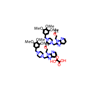 CCOCCn1c(CN2CCN(Cc3cc(OC)c(OC)c(OC)c3)CC2)nc2cccnc21.CCOCCn1c(CN2CCN(Cc3cc(OC)c(OC)c(OC)c3)CC2)nc2cccnc21.O=C(O)C(=O)O